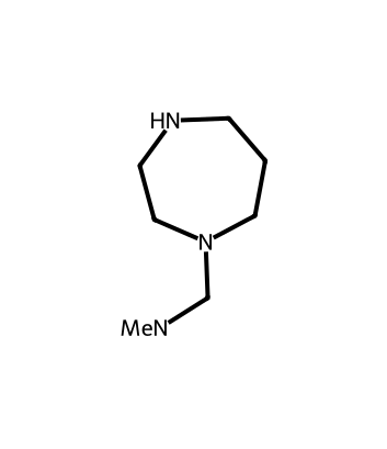 CNCN1CCCNCC1